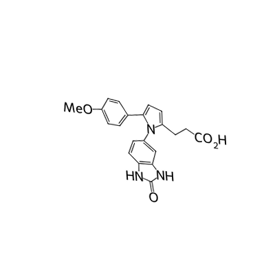 COc1ccc(-c2ccc(CCC(=O)O)n2-c2ccc3[nH]c(=O)[nH]c3c2)cc1